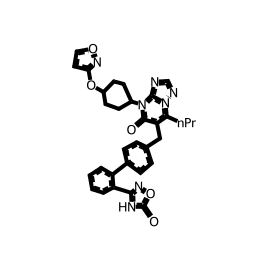 CCCc1c(Cc2ccc(-c3ccccc3-c3noc(=O)[nH]3)cc2)c(=O)n(C2CCC(Oc3ccon3)CC2)c2ncnn12